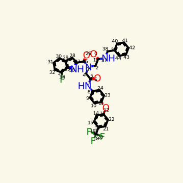 O=C(CN(CC(=O)Nc1ccc(Oc2ccc(C(F)(F)F)cc2)cc1)C(=O)c1cc2cccc(F)c2[nH]1)NCc1ccccc1